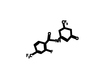 O=C1C=C(NC(=O)c2ccc(C(F)(F)F)cc2F)CC(C(F)(F)F)C1